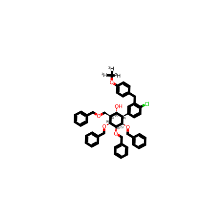 [2H]C([2H])([2H])Oc1ccc(Cc2cc([C@@H]3[C@@H](O)[C@H](COCc4ccccc4)[C@@H](OCc4ccccc4)[C@H](OCc4ccccc4)[C@H]3OCc3ccccc3)ccc2Cl)cc1